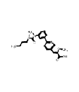 CCCCNC(=O)N(C)c1cccc(-c2ccc(/C=C(\OC)C(=O)O)cn2)c1